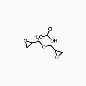 C(OCC1CO1)C1CO1.CC(O)Cl